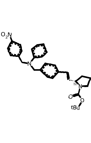 CC(C)(C)OC(=O)N1CCC[C@H]1C=Cc1ccc(CN(Cc2ccc([N+](=O)[O-])cc2)c2ccccc2)cc1